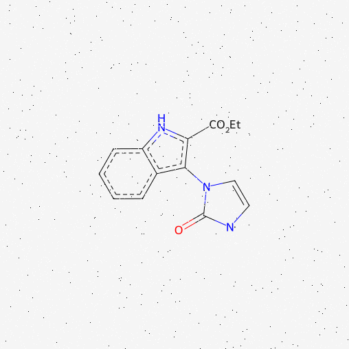 CCOC(=O)c1[nH]c2ccccc2c1N1C=C[N]C1=O